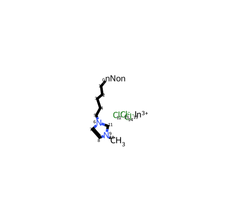 CCCCCCCCCCCCCCN1C=CN(C)C1.[Cl-].[Cl-].[Cl-].[In+3]